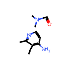 CN(C)C=O.Cc1nccc(N)c1C